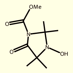 COC(=O)N1C(=O)C(C)(C)N(O)C1(C)C